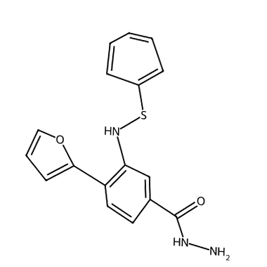 NNC(=O)c1ccc(-c2ccco2)c(NSc2ccccc2)c1